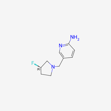 Nc1ccc(CN2CC[C@@H](F)C2)cn1